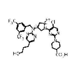 CC[C@@H]1C[C@H](N(Cc2cc(C(F)(F)F)cc(C(F)(F)F)c2)c2ncc(CCCO)cn2)CN1c1nc(N2CCC(C(=O)O)CC2)ncc1Cl